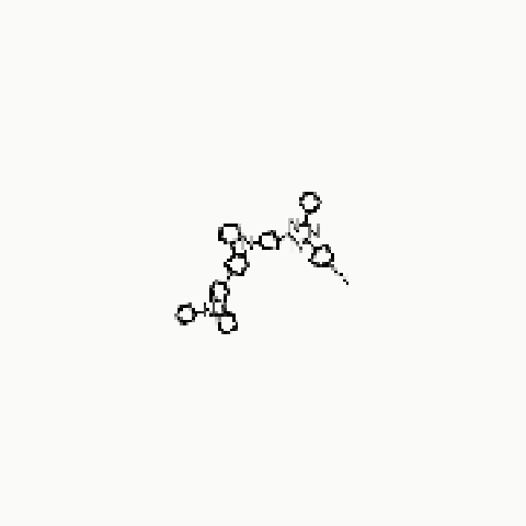 N#Cc1ccc(-c2nc(-c3ccccc3)nc(-c3ccc(-n4c5ccccc5c5cc(-c6ccc7c(c6)c6ccccc6n7-c6ccccc6)ccc54)cc3)n2)cc1